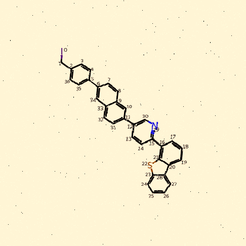 ICc1ccc(-c2ccc3cc(-c4ccc(-c5cccc6c5sc5ccccc56)nc4)ccc3c2)cc1